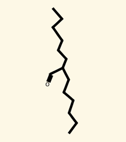 CCCCCCC([C]=O)CCCCCC